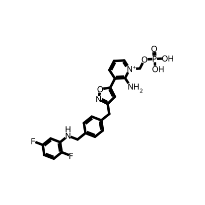 Nc1c(-c2cc(Cc3ccc(CNc4cc(F)ccc4F)cc3)no2)ccc[n+]1COP(=O)(O)O